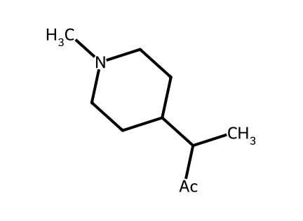 CC(=O)C(C)C1CCN(C)CC1